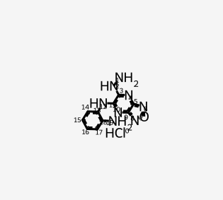 Cl.NNc1nc2nonc2nc1Nc1ccccc1N